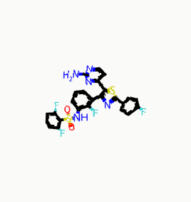 Nc1nccc(-c2sc(-c3ccc(F)cc3)nc2-c2cccc(NS(=O)(=O)c3c(F)cccc3F)c2F)n1